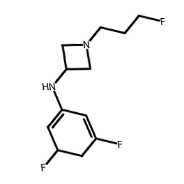 FCCCN1CC(NC2=CC(F)CC(F)=C2)C1